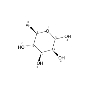 CC[C@H]1OC(O)[C@@H](O)[C@@H](O)[C@@H]1O